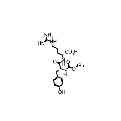 CC(C)(C)OC(=O)N[C@@H](Cc1ccc(O)cc1)C(=O)N[C@H](CCCNC(=N)N)C(=O)O